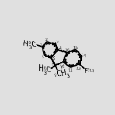 Cc1ccc2c(c1)C(C)(C)c1cc(F)ccc1-2